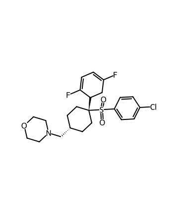 O=S(=O)(c1ccc(Cl)cc1)[C@]1(C2CC(F)=CC=C2F)CC[C@H](CN2CCOCC2)CC1